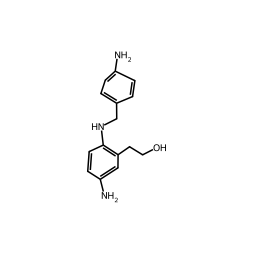 Nc1ccc(CNc2ccc(N)cc2CCO)cc1